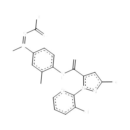 Cc1cc(/S(C)=N\C(=O)C(F)(F)F)ccc1NC(=O)c1cc(Br)nn1-c1ncccc1Cl